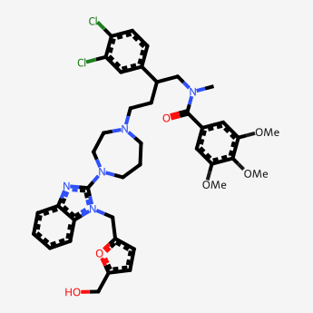 COc1cc(C(=O)N(C)CC(CCN2CCCN(c3nc4ccccc4n3Cc3ccc(CO)o3)CC2)c2ccc(Cl)c(Cl)c2)cc(OC)c1OC